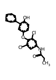 CCC(=O)Nc1cc(Cl)c(Oc2ccc(O)c(-c3ccccc3)c2)c(Cl)c1